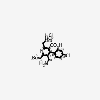 CC(C)(C)Cc1nc(CC(C)(C)C)c(C(=O)O)c(-c2ccc(Cl)cc2)c1CN.Cl.Cl